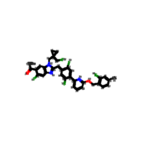 COC(=O)c1cc2c(cc1F)nc(Cc1cc(F)c(-c3cccc(OCc4ccc(C#N)cc4F)n3)cc1F)n2CC1(CF)CC1